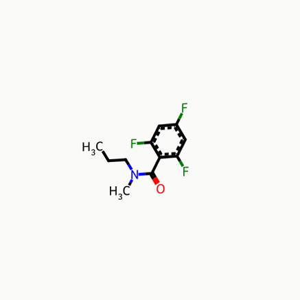 CCCN(C)C(=O)c1c(F)cc(F)cc1F